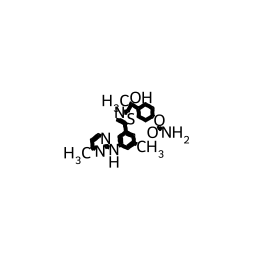 Cc1cc(Nc2nccc(C)n2)cc(-c2cnc(C(C)(O)C3CCC(OC(N)=O)CC3)s2)c1